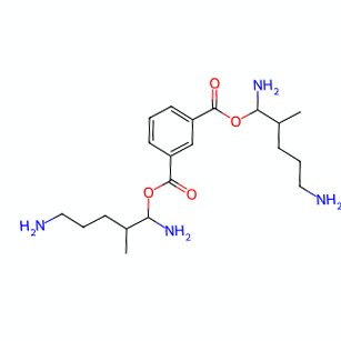 CC(CCCN)C(N)OC(=O)c1cccc(C(=O)OC(N)C(C)CCCN)c1